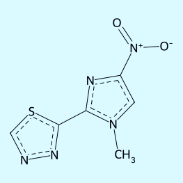 Cn1cc([N+](=O)[O-])nc1-c1nncs1